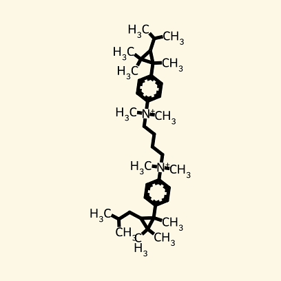 CC(C)CC1C(C)(C)C1(C)c1ccc([N+](C)(C)CCCC[N+](C)(C)c2ccc(C3(C)C(C(C)C)C3(C)C)cc2)cc1